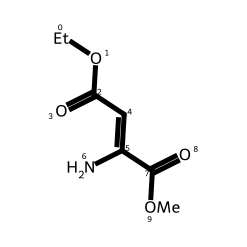 CCOC(=O)C=C(N)C(=O)OC